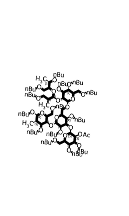 CCCCOCC1O[C@H](OCC2O[C@@H](O[C@@H]3C(COCCCC)O[C@@H](OCCCC)[C@@H](C)C3OCCCC)[C@H](OCCCC)C(O[C@@H]3OC(COCCCC)[C@H](OCCCC)C(OCCCC)[C@@H]3OC(C)=O)[C@@H]2OCCCC)[C@H](O[C@H](OC(COCCCC)[C@H](C)OCCCC)[C@@H](C)COCCCC)C(OCCCC)[C@@H]1OCCCC